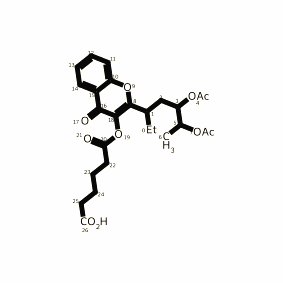 CCC(CC(OC(C)=O)C(C)OC(C)=O)c1oc2ccccc2c(=O)c1OC(=O)CCCCC(=O)O